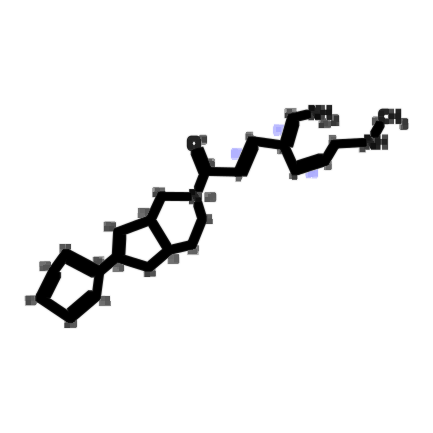 CNC\C=C/C(/C=C/C(=O)N1CCC2CC(c3ccccc3)=CC2C1)=C\N